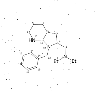 CCN(CC)CC1CC2CCCNC2N1Cc1ccccc1